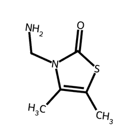 Cc1sc(=O)n(CN)c1C